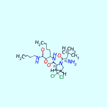 C=CCCNC(=O)C(=O)C(CCC=C)NC(=O)[C@@H]1[C@@H]2[C@H](CN1C(=O)[C@@H](N)C(C)(C)C)C2(Cl)Cl